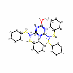 COc1nc(N(SC2CCCCC2)SC2CCCCC2)nc(N(SC2CCCCC2)SC2CCCCC2)n1